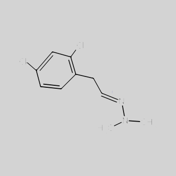 CN(C)/N=C/Cc1ccc(Cl)cc1Cl